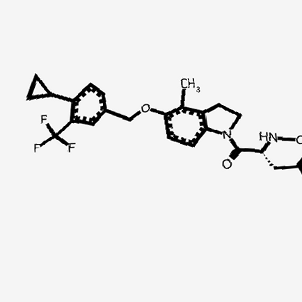 CN[C@H](CC(=O)O)C(=O)N1CCc2c1ccc(OCc1ccc(C3CC3)c(C(F)(F)F)c1)c2C